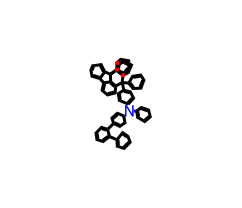 C1=CCC(C23c4ccccc4-c4cccc(c42)C(c2ccccc2)(c2ccc(N(c4ccccc4)C4C=CC(c5ccccc5-c5ccccc5)=CC4)cc2)c2ccccc23)C=C1